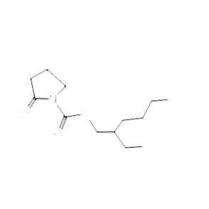 CCCCC(CC)COC(=O)N1CCCC1=O